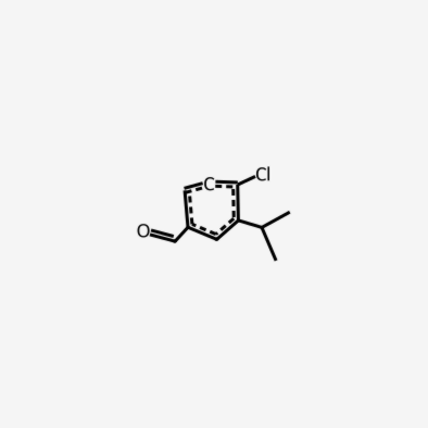 CC(C)c1cc(C=O)ccc1Cl